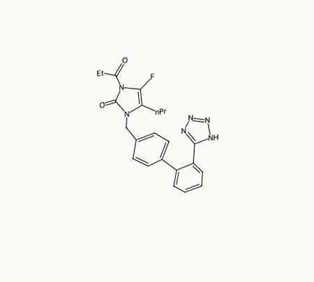 CCCc1c(F)n(C(=O)CC)c(=O)n1Cc1ccc(-c2ccccc2-c2nnn[nH]2)cc1